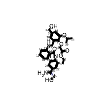 CCOC(=O)COc1c(CNc2ccccc2C(=O)Nc2ccc(/C(N)=N/O)cc2)cc(CO)cc1OC(C)C